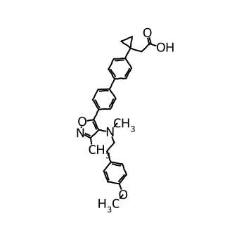 COc1ccc(CCN(C)c2c(C)noc2-c2ccc(-c3ccc(C4(CC(=O)O)CC4)cc3)cc2)cc1